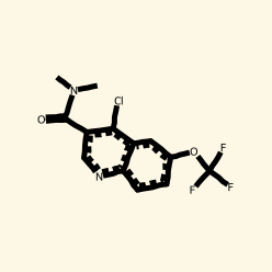 CN(C)C(=O)c1cnc2ccc(OC(F)(F)F)cc2c1Cl